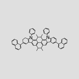 CC1c2cc3c4c(n(-c5ccccc5)c3c3c2-c2c(cc5c6cc(-c7cccc8ccccc78)ccc6n(-c6ccccc6)c5c2C(C)C3C)C1C)CCC(c1cccc2ccccc12)=C4